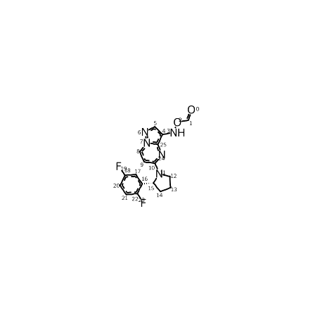 O=CONc1cnn2ccc(N3CCC[C@@H]3c3cc(F)ccc3F)nc12